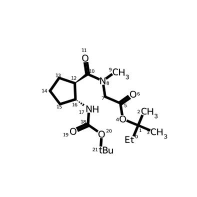 CCC(C)(C)OC(=O)CN(C)C(=O)[C@@H]1CCC[C@H]1NC(=O)OC(C)(C)C